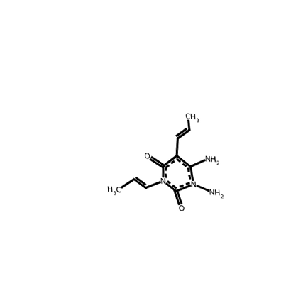 CC=Cc1c(N)n(N)c(=O)n(C=CC)c1=O